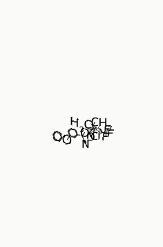 CC1(C)[C@H](C(=O)OC(C#N)c2cccc(Oc3ccccc3)c2)[C@@H]1C=C(Cl)C(F)(F)F